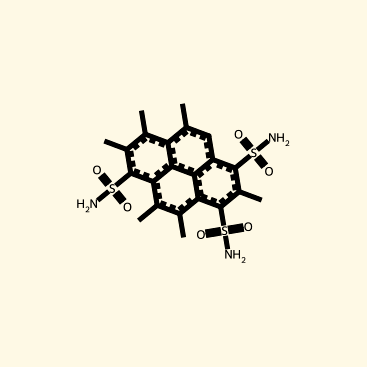 Cc1c(S(N)(=O)=O)c2cc(C)c3c(C)c(C)c(S(N)(=O)=O)c4c(C)c(C)c(c1S(N)(=O)=O)c2c34